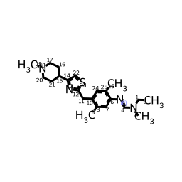 CCN(C)/C=N/c1cc(C)c(Cc2nc(C3CCN(C)CC3)cs2)cc1C